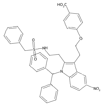 O=C(O)c1ccc(OCCc2c(CCNS(=O)(=O)Cc3ccccc3)n(C(c3ccccc3)c3ccccc3)c3ccc([N+](=O)[O-])cc23)cc1